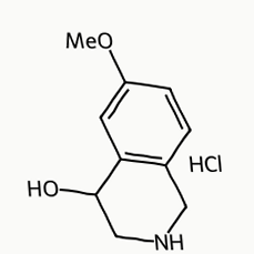 COc1ccc2c(c1)C(O)CNC2.Cl